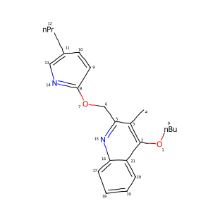 CCCCOc1c(C)c(COc2ccc(CCC)cn2)nc2ccccc12